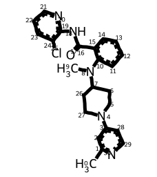 Cc1cc(N2CCC(N(C)c3ccccc3C(=O)Nc3ncccc3Cl)CC2)ccn1